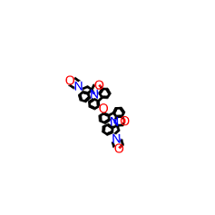 c1ccc(C2(CCN3CCOCC3)COc3cccc4c5c(Oc6cccc7c6c6cccc8c6n7C(CCN6CCOCC6)(c6ccccc6)CO8)cccc5n2c34)cc1